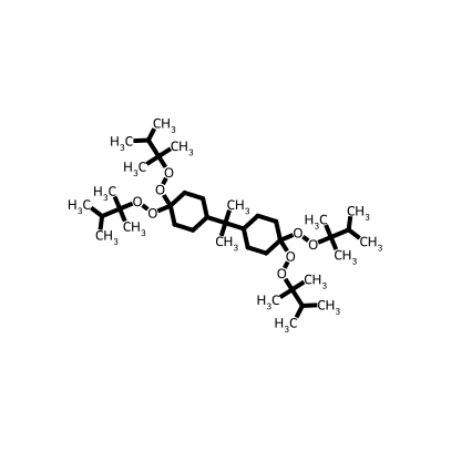 CC(C)C(C)(C)OOC1(OOC(C)(C)C(C)C)CCC(C(C)(C)C2CCC(OOC(C)(C)C(C)C)(OOC(C)(C)C(C)C)CC2)CC1